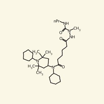 CCCNC(=O)N(C)NC(=O)CCCCC(=O)N(C1CCCCC1)C1CC(C)(C)N(C2CCCCC2)C(C)(C)C1